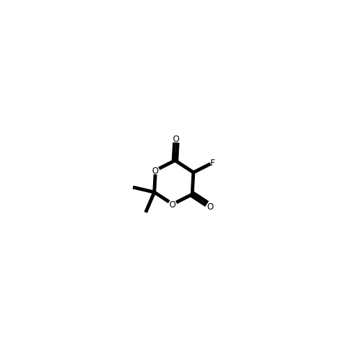 CC1(C)OC(=O)C(F)C(=O)O1